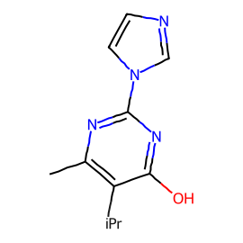 Cc1nc(-n2ccnc2)nc(O)c1C(C)C